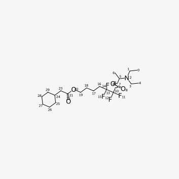 CCN(CC)C(C)S(=O)(=O)C(F)(F)C(F)(F)CCCCOC(=O)CC1CCCCC1